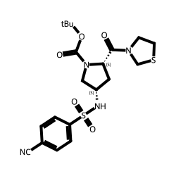 CC(C)(C)OC(=O)N1C[C@@H](NS(=O)(=O)c2ccc(C#N)cc2)C[C@H]1C(=O)N1CCSC1